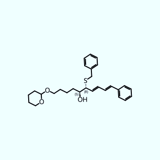 O[C@@H](CCCCOC1CCCCO1)[C@@H](C=CC=Cc1ccccc1)SCc1ccccc1